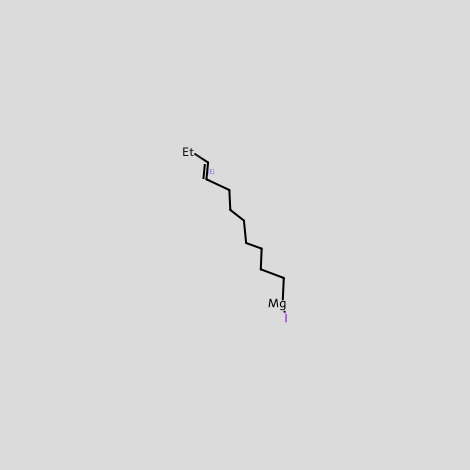 CC/C=C/CCCCCC[CH2][Mg][I]